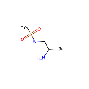 CCC(C)C(N)CNS(C)(=O)=O